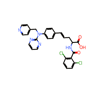 O=C(NC(CC=Cc1ccc(N(Cc2ccncc2)c2ncccn2)cc1)C(=O)O)c1c(Cl)cccc1Cl